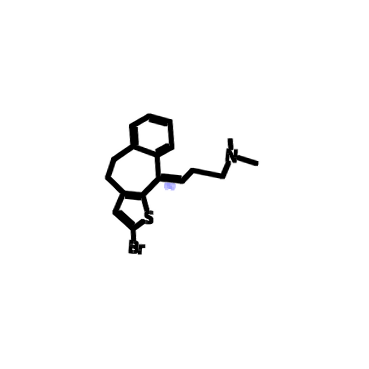 CN(C)CC/C=C1\c2ccccc2CCc2cc(Br)sc21